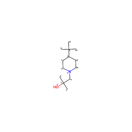 CC(C)(O)CN1CCC(C(C)(C)C)CC1